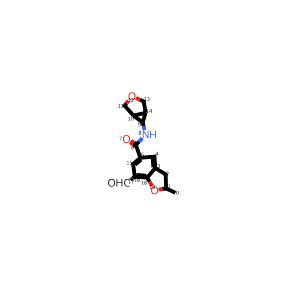 CC1Cc2cc(C(=O)NC3C4COCC43)cc(C=O)c2O1